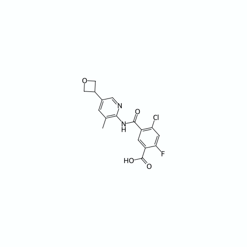 Cc1cc(C2COC2)cnc1NC(=O)c1cc(C(=O)O)c(F)cc1Cl